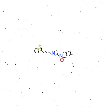 Cc1cc2c(cc1C)CC(=O)N(CC1CCCN(CCCCCc3csc4ccccc34)C1)CC2